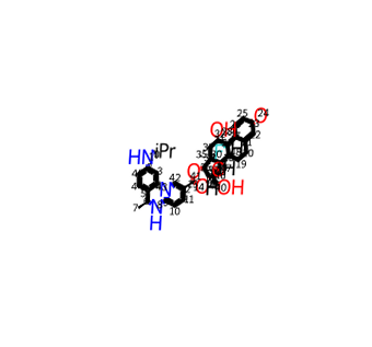 CC(C)Nc1ccc([C@H](C)Nc2ccc([C@@H]3O[C@@H]4C[C@H]5[C@@H]6CCC7=CC(=O)C=C[C@]7(C)[C@@]6(F)[C@@H](O)C[C@]5(C)[C@]4(C(=O)CO)O3)cn2)cc1